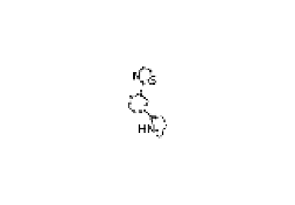 c1cc(-c2nccs2)cc([C@H]2CCON2)c1